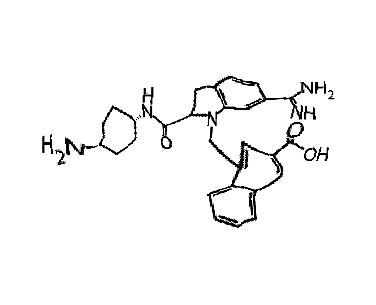 N=C(N)c1ccc2c(c1)N(Cc1cc(C(=O)O)cc3ccccc13)C(C(=O)N[C@H]1CC[C@H](N)CC1)C2